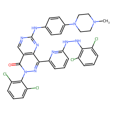 CN1CCN(c2ccc(Nc3ncc4c(=O)n(-c5c(Cl)cccc5Cl)nc(-c5cccc(NNc6c(Cl)cccc6Cl)n5)c4n3)cc2)CC1